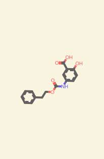 O=C(Nc1ccc(O)c(C(=O)O)c1)OCCc1ccccc1